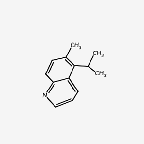 Cc1ccc2ncccc2c1C(C)C